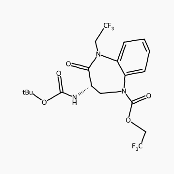 CC(C)(C)OC(=O)N[C@H]1CN(C(=O)OCC(F)(F)F)c2ccccc2N(CC(F)(F)F)C1=O